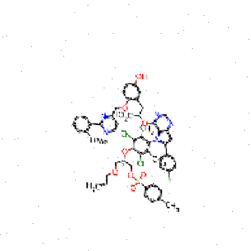 C=CCOC[C@H](COS(=O)(=O)c1ccc(C)cc1)Oc1c(Cl)c(C)c(-n2c(-c3ccc(F)cc3)cc3ncnc(OC(Cc4cc(O)ccc4OCc4ccnc(-c5ccccc5OC)n4)C(=O)O)c32)c(C)c1Cl